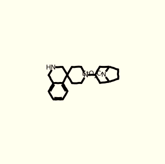 CCOC(=O)N1C2CCC1CC(N1CCC3(CC1)CNCc1ccccc13)C2